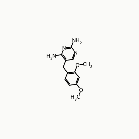 COc1ccc(Cc2cnc(N)nc2N)c(OC)c1